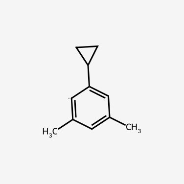 Cc1[c]c(C2CC2)cc(C)c1